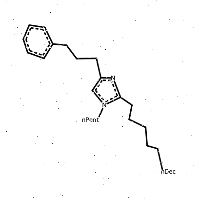 CCCCCCCCCCCCCCCc1nc(CCCc2ccccc2)cn1CCCCC